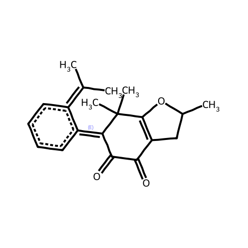 CC(C)=c1cccc/c1=C1\C(=O)C(=O)C2=C(OC(C)C2)C1(C)C